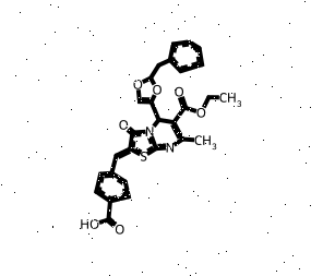 CCOC(=O)C1=C(C)N=c2sc(=Cc3ccc(C(=O)O)cc3)c(=O)n2C1C1=COC(Cc2ccccc2)O1